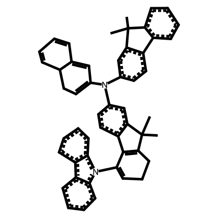 CC1(C)C2=C(C(n3c4ccccc4c4ccccc43)=CCC2)c2ccc(N(C3=CCC4C=CC=CC4=C3)c3ccc4c(c3)C(C)(C)c3ccccc3-4)cc21